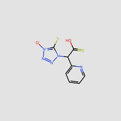 [O-][n+]1nnn(C(C(O)=S)c2ccccn2)c1[S]